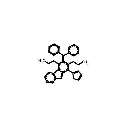 CCCc1c(C2=CC=CC2)c2c(c(CCC)c1=C(c1ccccc1)c1ccccc1)-c1ccccc1[C]=2